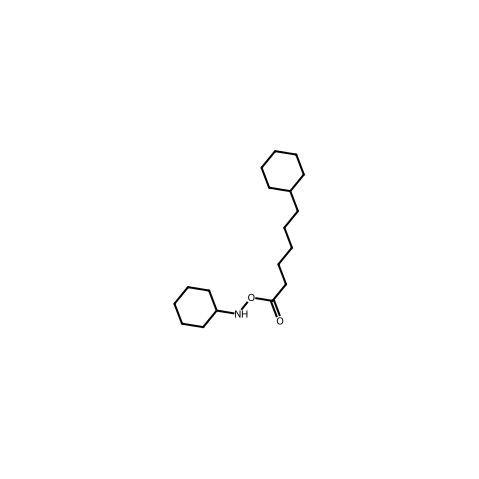 O=C(CCCCCC1CCCCC1)ONC1CCCCC1